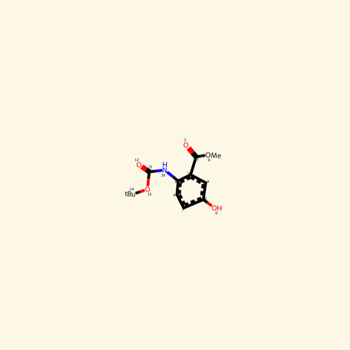 COC(=O)c1cc(O)ccc1NC(=O)OC(C)(C)C